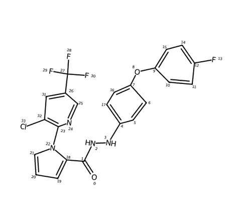 O=C(NNc1ccc(Oc2ccc(F)cc2)cc1)c1cccn1-c1ncc(C(F)(F)F)cc1Cl